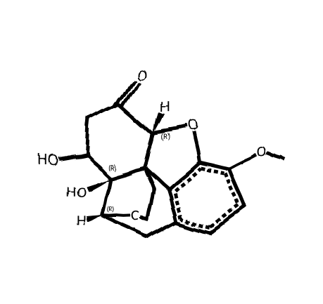 COc1ccc2c3c1O[C@H]1C(=O)CC(O)[C@@]4(O)[C@H](CCCC314)C2